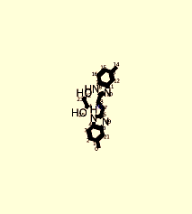 Cc1ccc2[nH]c(/C=C/c3nc4cc(C)ccc4[nH]3)nc2c1.OCCO